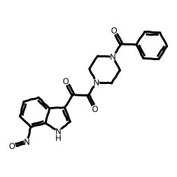 O=Nc1cccc2c(C(=O)C(=O)N3CCN(C(=O)c4ccccc4)CC3)c[nH]c12